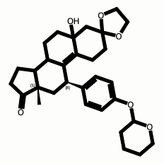 C[C@]12C[C@H](c3ccc(OC4CCCCO4)cc3)C3=C4CCC5(CC4(O)CCC3C1CCC2=O)OCCO5